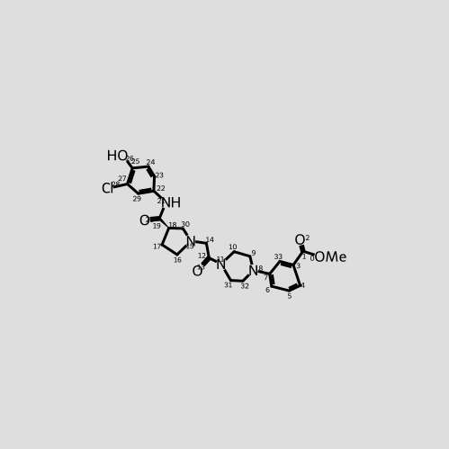 COC(=O)c1cccc(N2CCN(C(=O)CN3CC[C@@H](C(=O)Nc4ccc(O)c(Cl)c4)C3)CC2)c1